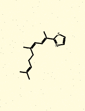 CC(C)=CCCC(C)=CC=C(C)c1nccs1